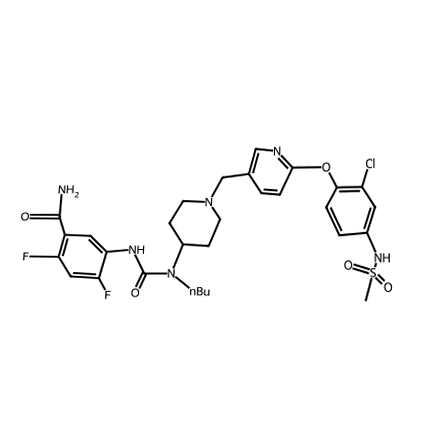 CCCCN(C(=O)Nc1cc(C(N)=O)c(F)cc1F)C1CCN(Cc2ccc(Oc3ccc(NS(C)(=O)=O)cc3Cl)nc2)CC1